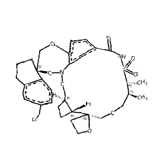 C[C@@H]1[C@@H](C)CCC[C@]2(CCO2)[C@@H]2CC[C@H]2CN2C[C@@]3(CCCc4cc(Cl)ccc43)COc3ccc(cc32)C(=O)NS1(=O)=O